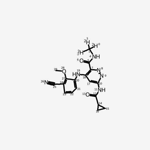 [2H]C([2H])([2H])NC(=O)c1nnc(NC(=O)C2CC2)cc1Nc1cccc(C#N)c1OC